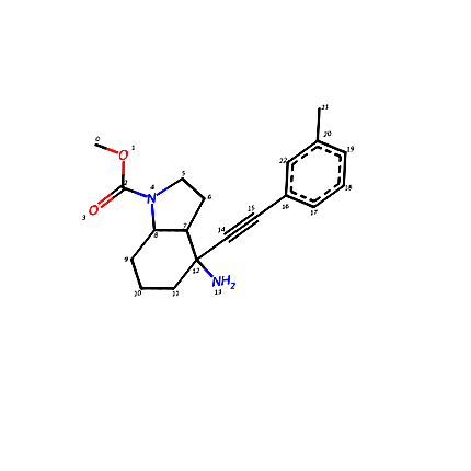 COC(=O)N1CCC2C1CCCC2(N)C#Cc1cccc(C)c1